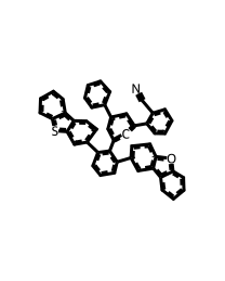 N#Cc1ccccc1-c1cc(-c2ccccc2)cc(-c2c(-c3ccc4c(c3)sc3ccccc34)cccc2-c2ccc3oc4ccccc4c3c2)c1